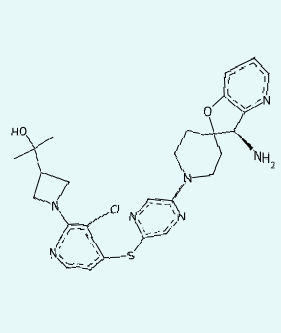 CC(C)(O)C1CN(c2nccc(Sc3cnc(N4CCC5(CC4)Oc4cccnc4[C@H]5N)cn3)c2Cl)C1